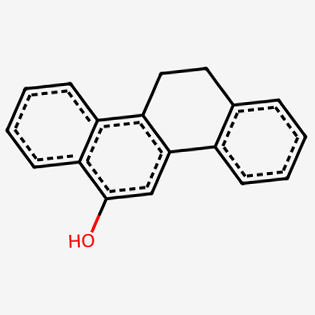 Oc1cc2c(c3ccccc13)CCc1ccccc1-2